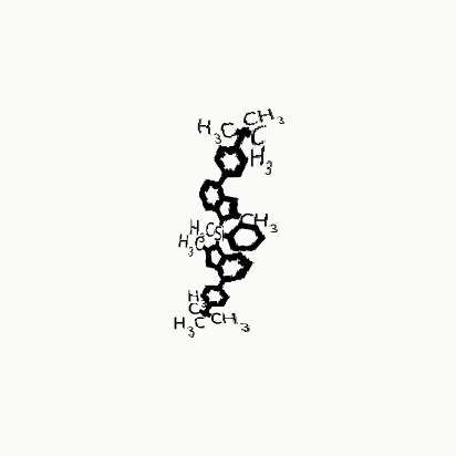 CC1=Cc2c(-c3ccc(C(C)(C)C)cc3)cccc2C1[Si](C)(C1CCCCC1)C1C(C)=Cc2c(-c3ccc(C(C)(C)C)cc3)cccc21